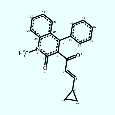 Cn1c(=O)c(C(=O)/C=C/C2CC2)c(-c2ccccc2)c2ccccc21